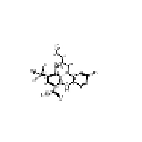 Cc1nc(Nc2ccc(F)cc2CCCCCBr)c(C(=O)O)cc1C(F)(F)F